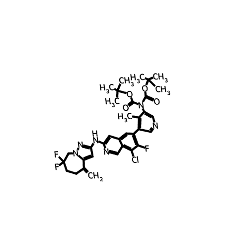 C=C1CCC(F)(F)Cn2nc(Nc3cc4cc(-c5cncc(N(C(=O)OC(C)(C)C)C(=O)OC(C)(C)C)c5C)c(F)c(Cl)c4cn3)cc21